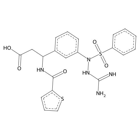 N=C(N)NN(c1cccc(C(CC(=O)O)NC(=O)c2cccs2)c1)S(=O)(=O)c1ccccc1